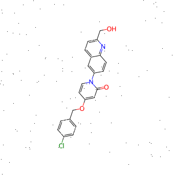 O=c1cc(OCc2ccc(Cl)cc2)ccn1-c1ccc2nc(CO)ccc2c1